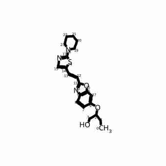 CCC(CO)Oc1ccc2nc(/C=C/c3cnc(N4CCCCC4)s3)oc2c1